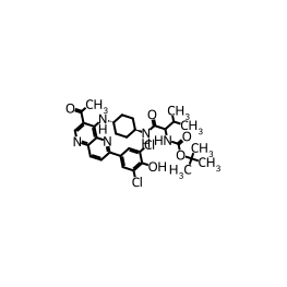 CC(=O)c1cnc2ccc(-c3cc(Cl)c(O)c(Cl)c3)nc2c1N[C@H]1CC[C@H](NC(=O)C(NC(=O)OC(C)(C)C)C(C)C)CC1